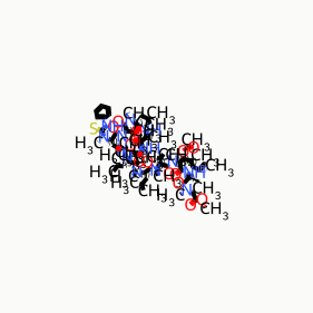 C/C=C/C[C@@H](C)[C@@H](OC(C)=O)[C@@H](C(=O)N[C@@H](CC)C(=O)N(C)CC(=O)OC)N(C)C(=O)[C@H](C(C)C)N(C)C(=O)[C@H](CC(C)C)N(C)C(=O)[C@H](CC(C)C)N(C)C(=O)[C@H](C)NC(=O)[C@H](C)NC(=O)[C@H](CC(C)C)N(C)C(=O)[C@@H](NC(=O)[C@H](CC(C)C)N(C)C(=S)Nc1ccccc1)C(C)C